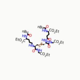 [CH2]CCCC(=O)N[C@@H](CCCN[C@@H](CSSC[C@H](NC(=O)CC[C@H](NC(=O)CCC[CH2])C(=O)OCC)C(=O)NCC(=O)OCC)C(=O)NCC(=O)OCC)C(=O)OCC